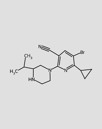 CC(C)C1CN(c2nc(C3CC3)c(Br)cc2C#N)CCN1